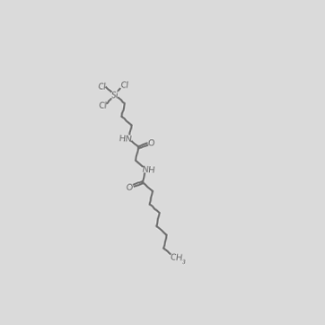 CCCCCCCC(=O)NCC(=O)NCCC[Si](Cl)(Cl)Cl